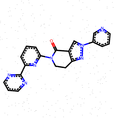 O=C1c2cn(-c3cccnc3)nc2CCN1c1cccc(-c2ncccn2)n1